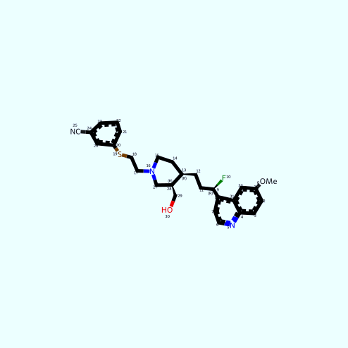 COc1ccc2nccc([C@H](F)CC[C@@H]3CCN(CCSc4cccc(C#N)c4)C[C@@H]3CO)c2c1